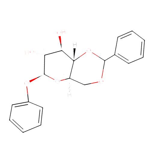 O[C@@H]1[C@@H](O)[C@H](Oc2ccccc2)O[C@@H]2COC(c3ccccc3)O[C@@H]12